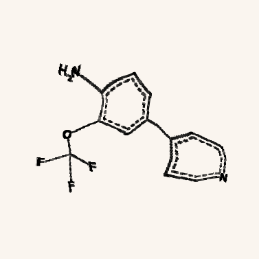 Nc1ccc(-c2ccncc2)cc1OC(F)(F)F